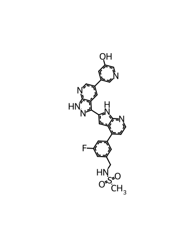 CS(=O)(=O)NCc1cc(F)cc(-c2ccnc3[nH]c(-c4n[nH]c5ncc(-c6cncc(O)c6)cc45)cc23)c1